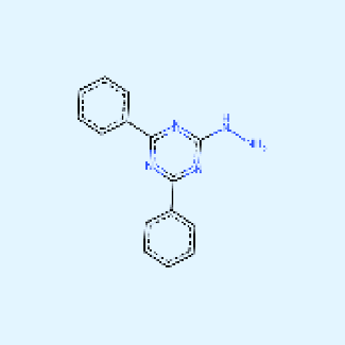 NNc1nc(-c2ccccc2)nc(-c2ccccc2)n1